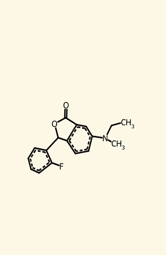 CCN(C)c1ccc2c(c1)C(=O)OC2c1ccccc1F